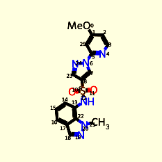 COc1ccnc(-n2cc(S(=O)(=O)Nc3cccc4cnn(C)c34)cn2)c1